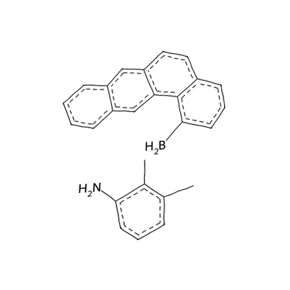 Bc1cccc2ccc3cc4ccccc4cc3c12.Cc1cccc(N)c1C